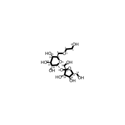 OCCOC[C@H]1O[C@H](O[C@]2(CO)O[C@H](CO)[C@@H](O)[C@@H]2O)[C@H](O)[C@@H](O)[C@@H]1O